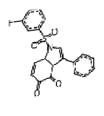 O=C1C=CC2C(C1=O)C(c1ccccc1)=CN2S(=O)(=O)c1cccc(F)c1